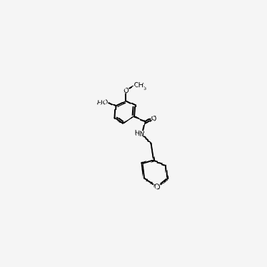 COc1cc(C(=O)NCC2CCOCC2)ccc1O